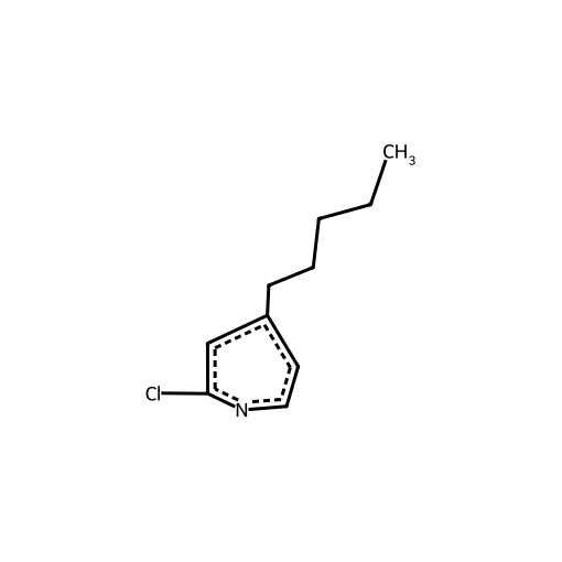 CCCCCc1ccnc(Cl)c1